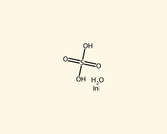 O.O=S(=O)(O)O.[In]